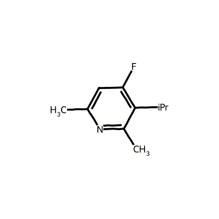 Cc1cc(F)c(C(C)C)c(C)n1